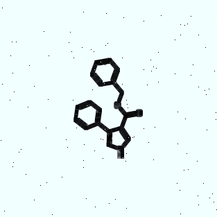 O=C(OCc1ccccc1)c1c[nH]cc1-c1ccccc1